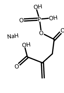 C=C(CC(=O)OP(=O)(O)O)C(=O)O.[NaH]